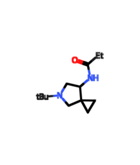 CCC(=O)NC1CN(C(C)(C)C)CC12CC2